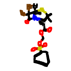 CC1(C)S[C@H]2N(C(=O)C2(Br)Br)[C@H]1C(=O)OCOS(=O)(=O)c1ccccc1